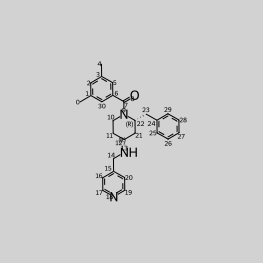 Cc1cc(C)cc(C(=O)N2CC[C@@H](NCc3ccncc3)C[C@H]2Cc2ccccc2)c1